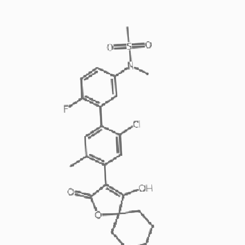 Cc1cc(-c2cc(N(C)S(C)(=O)=O)ccc2F)c(Cl)cc1C1=C(O)C2(CCCCC2)OC1=O